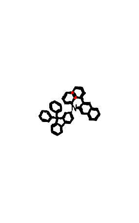 C1=C=C(c2cc3ccccc3cc2N(C2=CC=CCC2)c2ccc3c(c2)C(c2ccccc2)(c2ccccc2)c2ccccc2-3)C=CC=1